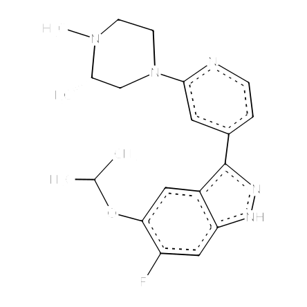 CC(C)Oc1cc2c(-c3ccnc(N4CCN(C)[C@@H](C)C4)c3)n[nH]c2cc1F